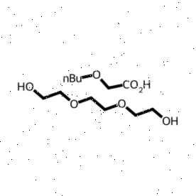 CCCCOCC(=O)O.OCCOCCOCCO